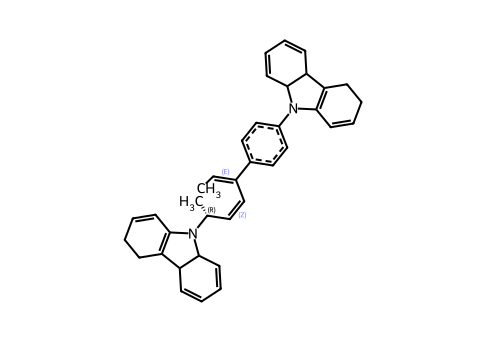 C/C=C(\C=C/[C@@H](C)N1C2=C(CCC=C2)C2C=CC=CC21)c1ccc(N2C3=C(CCC=C3)C3C=CC=CC32)cc1